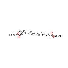 CCCCCCCCOC(=O)CCCCCCCCCCCCCCCCC(CC(=O)OCCCCCCCC)C(C)C